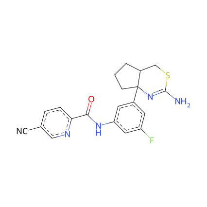 N#Cc1ccc(C(=O)Nc2cc(F)cc(C34CCCC3CSC(N)=N4)c2)nc1